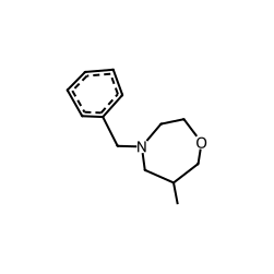 CC1COCCN(Cc2ccccc2)C1